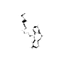 CC(=O)/C=C/CN(C)CCCN1C2=CC(Cl)=CCC2=CCc2ccccc21